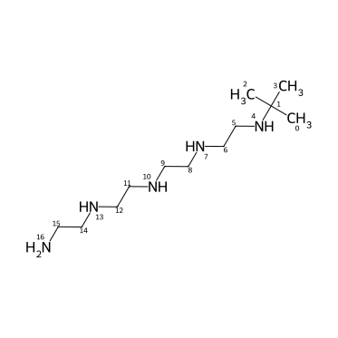 CC(C)(C)NCCNCCNCCNCCN